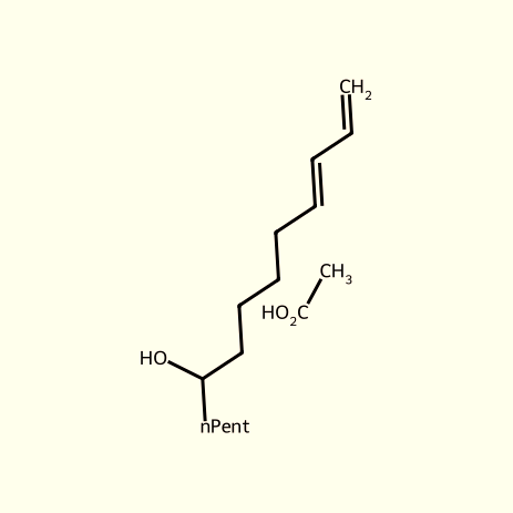 C=CC=CCCCCC(O)CCCCC.CC(=O)O